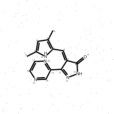 Cc1cc(C)c(/C=C2/C(=O)NN=C2c2cnccn2)[nH]1